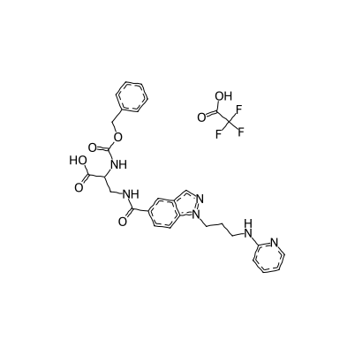 O=C(NC(CNC(=O)c1ccc2c(cnn2CCCNc2ccccn2)c1)C(=O)O)OCc1ccccc1.O=C(O)C(F)(F)F